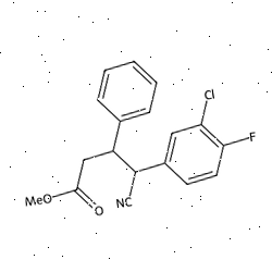 COC(=O)CC(c1ccccc1)C(C#N)c1ccc(F)c(Cl)c1